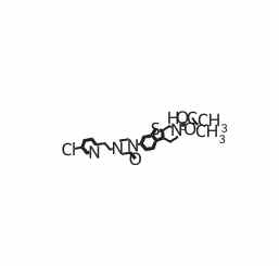 CC(C)(C)OC(=O)N1CCc2c(sc3cc(N4CCN(CCc5ccc(Cl)cn5)CC4=O)ccc23)C1